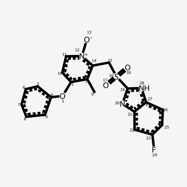 Cc1c(Oc2ccccc2)cc[n+]([O-])c1CS(=O)(=O)c1nc2cc(F)ccc2[nH]1